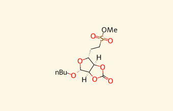 CCCCO[C@@H]1O[C@H](CCS(=O)(=O)OC)[C@H]2OC(=O)O[C@@H]12